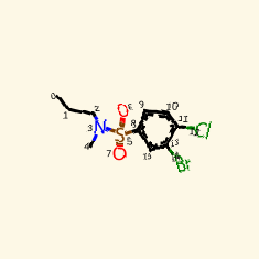 CCCN(C)S(=O)(=O)c1ccc(Cl)c(Br)c1